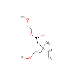 C=C(C(=O)O)C(CCOCCC)(CC(=O)OCCOCCC)C(=O)O